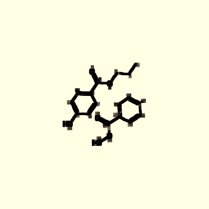 CCCOC(=O)c1ccc(O)cc1.O=C(OO)c1ccccc1